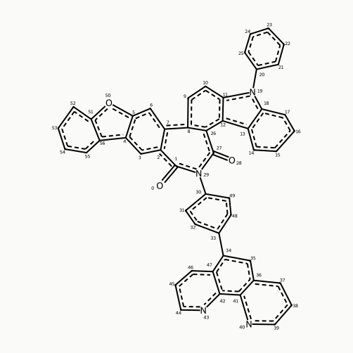 O=c1c2cc3c(cc2c2ccc4c(c5ccccc5n4-c4ccccc4)c2c(=O)n1-c1ccc(-c2cc4cccnc4c4ncccc24)cc1)oc1ccccc13